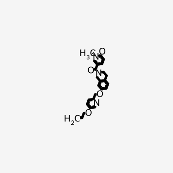 C=CCOc1ccc(COc2ccc3c(c2)CN(C(=O)c2ccc(=O)n(C)c2)CC3)nc1